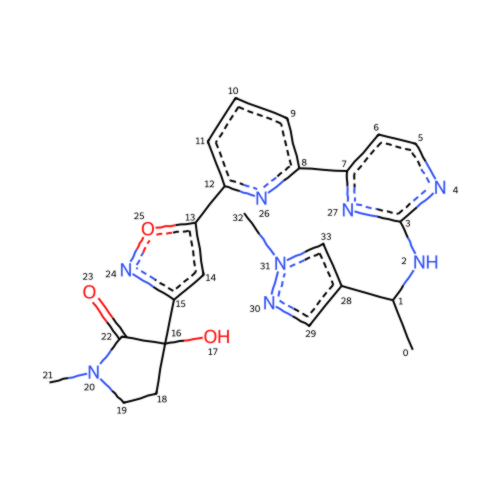 CC(Nc1nccc(-c2cccc(-c3cc(C4(O)CCN(C)C4=O)no3)n2)n1)c1cnn(C)c1